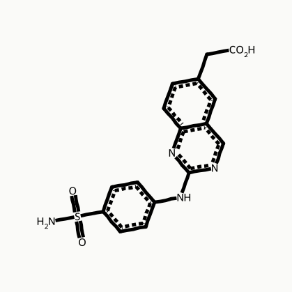 NS(=O)(=O)c1ccc(Nc2ncc3cc(CC(=O)O)ccc3n2)cc1